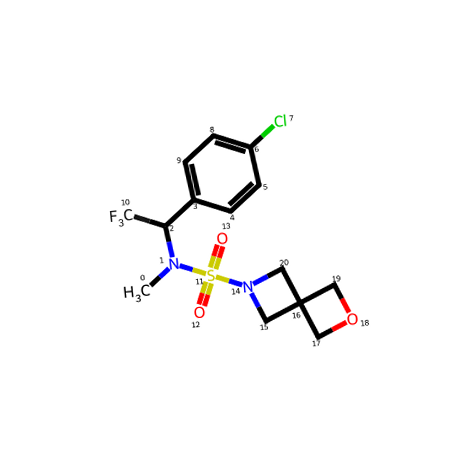 CN(C(c1ccc(Cl)cc1)C(F)(F)F)S(=O)(=O)N1CC2(COC2)C1